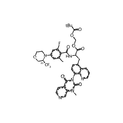 Cc1cc(N2CCOC[C@@H]2C(F)(F)F)cc(F)c1C(=O)NC(Cc1ccc(-n2c(=O)c3ccncc3n(C)c2=O)c2ncccc12)C(=O)OCOC(=O)C(C)(C)C